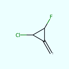 [C]=C1C(F)C1Cl